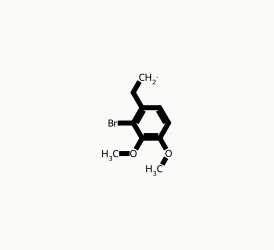 [CH2]Cc1ccc(OC)c(OC)c1Br